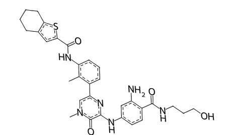 Cc1c(NC(=O)c2cc3c(s2)CCCC3)cccc1-c1cn(C)c(=O)c(Nc2ccc(C(=O)NCCCO)c(N)c2)n1